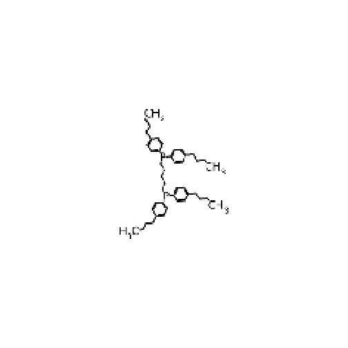 CCCCc1ccc(P(CCCCCP(c2ccc(CCCC)cc2)c2ccc(CCCC)cc2)c2ccc(CCCC)cc2)cc1